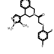 Cc1c(C2CN(C(=O)CSc3ccc(F)cc3F)Cc3ccccc32)cnn1C